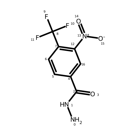 NNC(=O)c1ccc(C(F)(F)F)c([N+](=O)[O-])c1